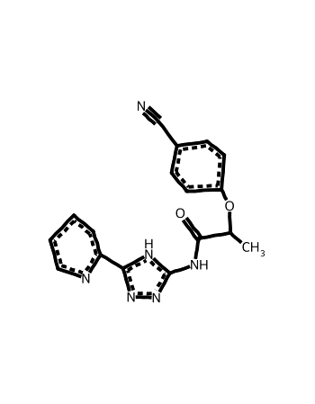 CC(Oc1ccc(C#N)cc1)C(=O)Nc1nnc(-c2ccccn2)[nH]1